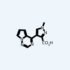 Cn1cc(-c2ncnn3cccc23)c(C(=O)O)n1